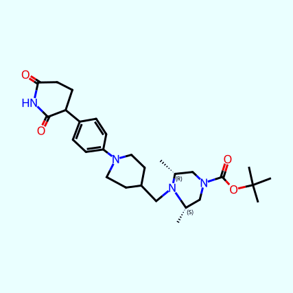 C[C@@H]1CN(C(=O)OC(C)(C)C)C[C@H](C)N1CC1CCN(c2ccc(C3CCC(=O)NC3=O)cc2)CC1